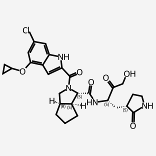 O=C1NCC[C@H]1C[C@H](NC(=O)[C@@H]1[C@H]2CCC[C@H]2CN1C(=O)c1cc2c(OC3CC3)cc(Cl)cc2[nH]1)C(=O)CO